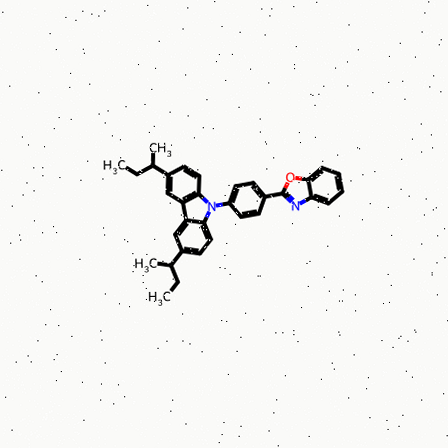 CCC(C)c1ccc2c(c1)c1cc(C(C)CC)ccc1n2-c1ccc(-c2nc3ccccc3o2)cc1